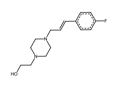 OCCN1CCN(CC=Cc2ccc(F)cc2)CC1